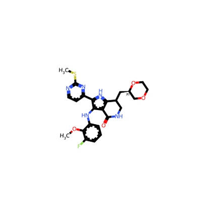 COc1c(F)cccc1Nc1c(-c2ccnc(SC)n2)[nH]c2c1C(=O)NCC2C[C@@H]1COCCO1